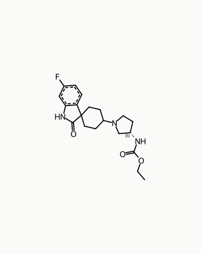 CCOC(=O)N[C@H]1CCN(C2CCC3(CC2)C(=O)Nc2cc(F)ccc23)C1